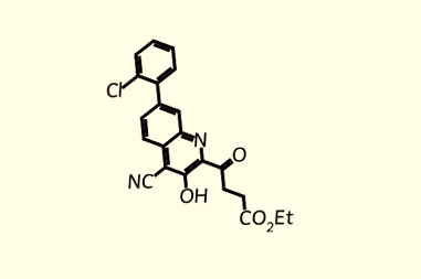 CCOC(=O)CCC(=O)c1nc2cc(-c3ccccc3Cl)ccc2c(C#N)c1O